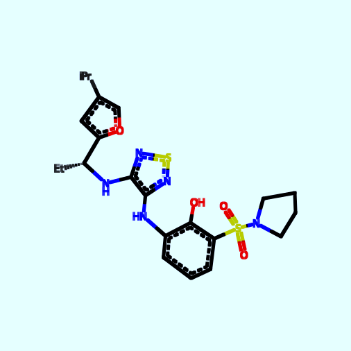 CC[C@@H](Nc1nsnc1Nc1cccc(S(=O)(=O)N2CCCC2)c1O)c1cc(C(C)C)co1